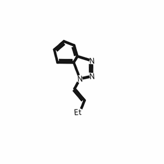 CCC=Cn1nnc2ccccc21